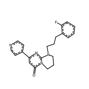 O=c1cc(-c2ccncc2)nc2n1CCCN2CCCc1ccccc1F